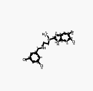 CN(CCNCc1cc(Cl)cc(Cl)c1)c1nc2cc(Br)c(Cl)nc2[nH]1